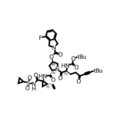 C=C[C@@H]1C[C@]1(NC(=O)[C@@H]1C[C@@H](OC(=O)N2Cc3cccc(F)c3C2)CN1C(=O)[C@H](CCC(=O)C#CC(C)(C)C)NC(=O)OC(C)(C)C)C(=O)NS(=O)(=O)C1CC1